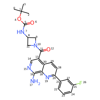 CC(C)(C)OC(=O)NC1CN(C(=O)c2cnc(N)c3nc(-c4cccc(F)c4)ccc23)C1